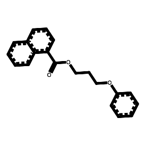 O=C(OCCCOc1ccccc1)c1cccc2ccccc12